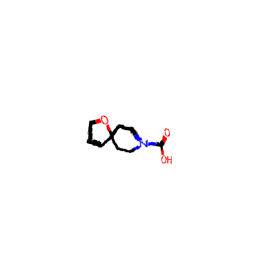 O=C(O)N1CCC2(C=CCO2)CC1